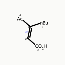 CCCC/C(=C\C(=O)O)C(C)=O